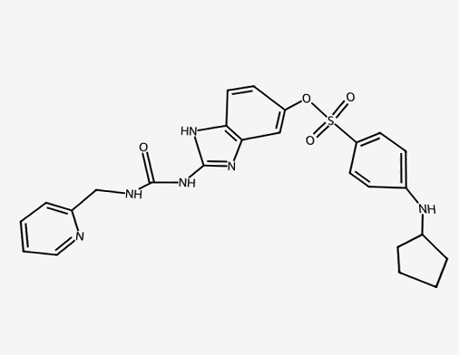 O=C(NCc1ccccn1)Nc1nc2cc(OS(=O)(=O)c3ccc(NC4CCCC4)cc3)ccc2[nH]1